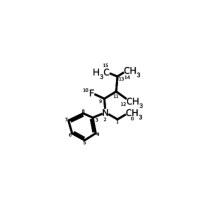 CCN(c1ccccc1)C(F)C(C)C(C)C